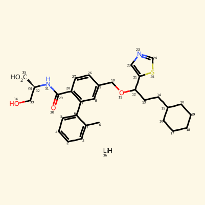 Cc1ccccc1-c1cc(COC(CCC2CCCCC2)c2cncs2)ccc1C(=O)N[C@@H](CO)C(=O)O.[LiH]